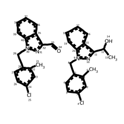 Cc1cc(Cl)ccc1Cn1nc(C(C)O)c2ccccc21.Cc1cc(Cl)ccc1Cn1nc(C=O)c2ccccc21